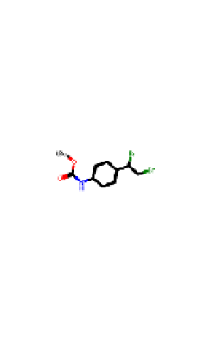 CC(C)(C)OC(=O)NC1CCC(C(Br)CBr)CC1